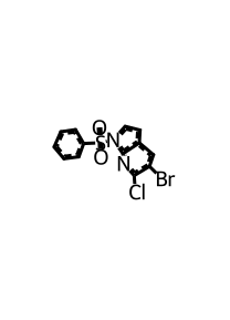 O=S(=O)(c1ccccc1)n1ccc2cc(Br)c(Cl)nc21